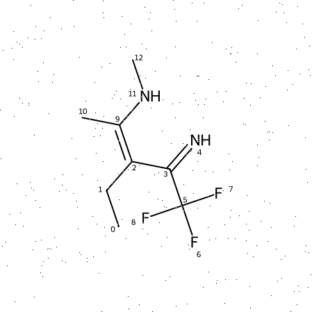 CC/C(C(=N)C(F)(F)F)=C(\C)NC